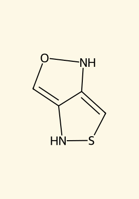 C1=C2NOC=C2NS1